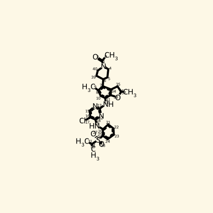 CC(=O)N1CCC(c2c(C)cc(Nc3ncc(Cl)c(Nc4ccccc4S(=O)(=O)C(C)C)n3)c3c2CC(C)O3)CC1